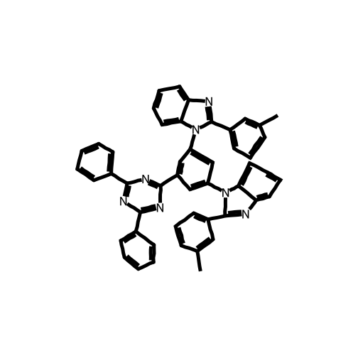 Cc1cccc(-c2nc3ccccc3n2-c2cc(-c3nc(-c4ccccc4)nc(-c4ccccc4)n3)cc(-n3c(-c4cccc(C)c4)nc4ccccc43)c2)c1